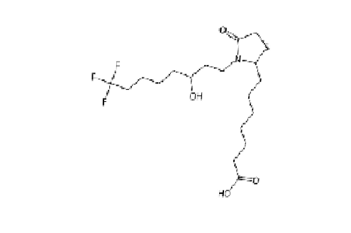 O=C(O)CCCCCCC1SCC(=O)N1CCC(O)CCCCC(F)(F)F